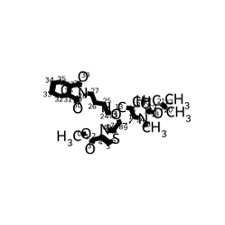 COC(=O)c1csc([C@@H](C[C@H](C(C)C)N(C)C(=O)OC(C)(C)C)OCCCCN2C(=O)C3C4C=CC(O4)C3C2=O)n1